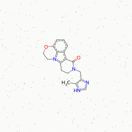 Cc1[nH]cnc1CN1CCc2c(c3cccc4c3n2CCO4)C1=O